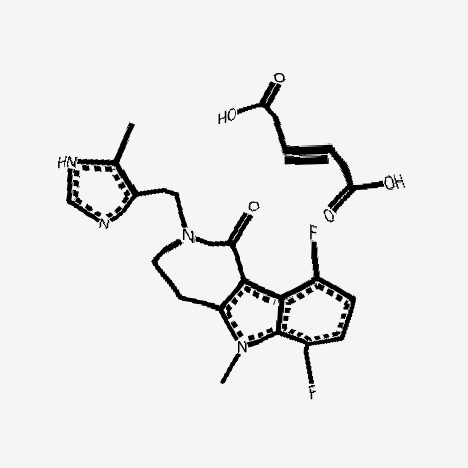 Cc1[nH]cnc1CN1CCc2c(c3c(F)ccc(F)c3n2C)C1=O.O=C(O)C=CC(=O)O